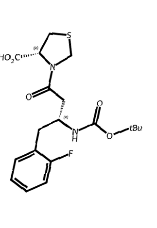 CC(C)(C)OC(=O)N[C@@H](CC(=O)N1CSC[C@H]1C(=O)O)Cc1ccccc1F